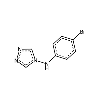 Brc1ccc(Nn2cnnc2)cc1